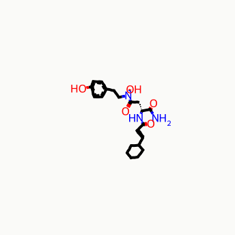 NC(=O)[C@@H](CC(=O)N(O)CCc1ccc(O)cc1)NC(=O)/C=C/C1CCCCC1